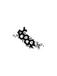 C=C(C)C1CC[C@]2(N)CC[C@]3(C)[C@H](CC[C@@H]4[C@@]5(C)CC=C(OS(=O)(=O)C(F)(F)F)C(C)(C)[C@@H]5CC[C@]43C)[C@@H]12